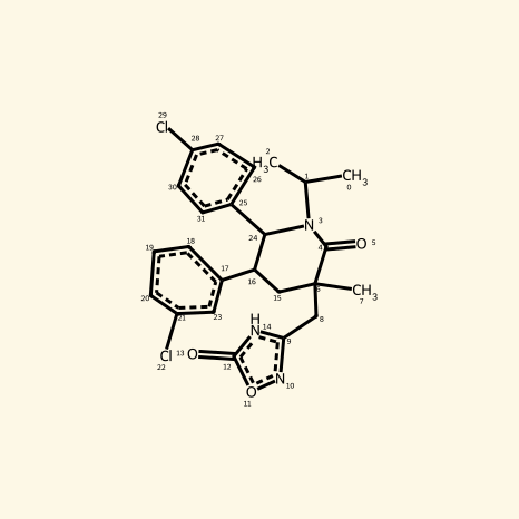 CC(C)N1C(=O)C(C)(Cc2noc(=O)[nH]2)CC(c2cccc(Cl)c2)C1c1ccc(Cl)cc1